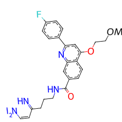 COCCOc1cc(-c2ccc(F)cc2)nc2cc(C(=O)NCCCC(=N)/C=C\N)ccc12